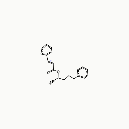 N#CC(CCCc1ccccc1)OC(=O)/C=C/c1ccccc1